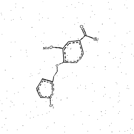 COc1cc(C(=O)C(C)(C)C)ccc1OCc1cccc(C(F)(F)F)c1